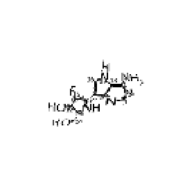 Nc1ncnc2c([C@@H]3N[C@H](CO)[C@@H](O)[C@H]3F)c[nH]c12